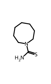 NC(=S)N1CCCCCCC1